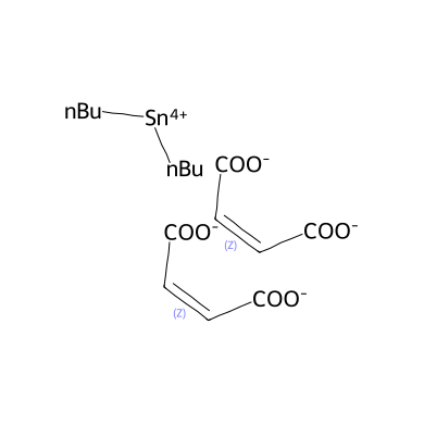 CCC[CH2][Sn+4][CH2]CCC.O=C([O-])/C=C\C(=O)[O-].O=C([O-])/C=C\C(=O)[O-]